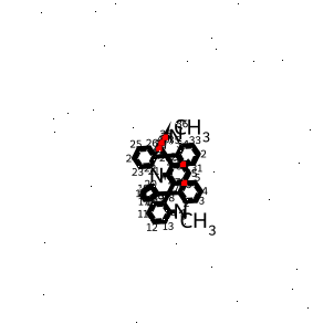 CN1c2ccccc2C2(c3ccccc31)c1ccccc1N1c3ccccc3C3(c4ccccc4N(C)c4ccccc43)c3cccc2c31